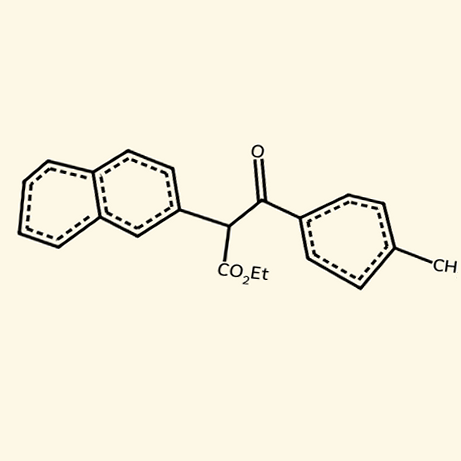 CCOC(=O)C(C(=O)c1ccc(C)cc1)c1ccc2ccccc2c1